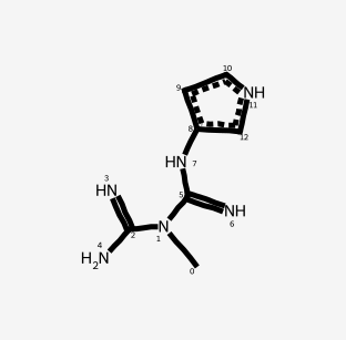 CN(C(=N)N)C(=N)Nc1cc[nH]c1